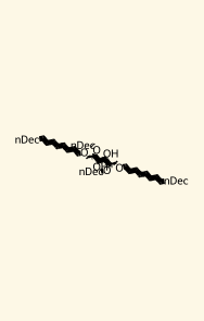 CCCCCCCCCCCCCCCCCCOC[C@@H](OCCCCCCCCCC)[C@@H](O)[C@H](O)[C@@H](COCCCCCCCCCCCCCCCCCC)OCCCCCCCCCC